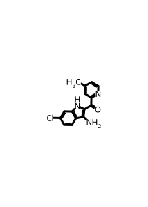 Cc1ccnc(C(=O)c2[nH]c3cc(Cl)ccc3c2N)c1